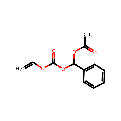 C=COC(=O)OC(OC(C)=O)c1ccccc1